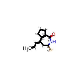 C=C/C=C1\CC(Br)NC(=O)C2=C1CCC2